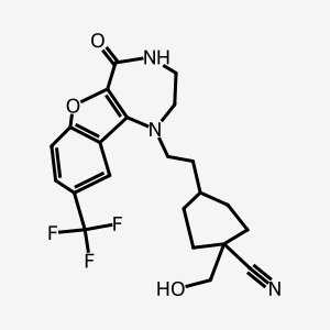 N#CC1(CO)CCC(CCN2CCNC(=O)c3oc4ccc(C(F)(F)F)cc4c32)CC1